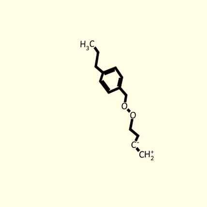 [CH2+][CH-]CCOOCc1ccc(CCC)cc1